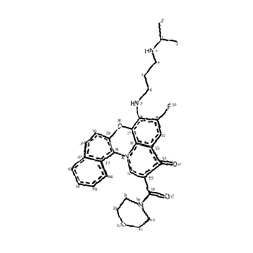 CC(C)NCCCNc1c(F)cc2c(=O)c(C(=O)N3CCOCC3)cn3c2c1Oc1ccc2ccccc2c1-3